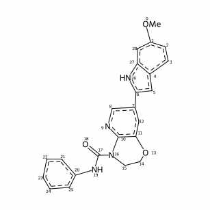 COc1ccc2cc(-c3cnc4c(c3)OCCN4C(=O)Nc3ccccc3)[nH]c2c1